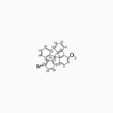 COc1ccc2c(c1)C1(c3ccccc3-c3ccccc31)c1cc(Br)ccc1-2